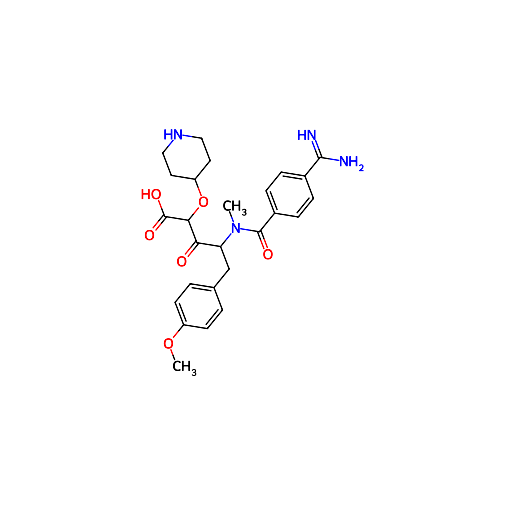 COc1ccc(CC(C(=O)C(OC2CCNCC2)C(=O)O)N(C)C(=O)c2ccc(C(=N)N)cc2)cc1